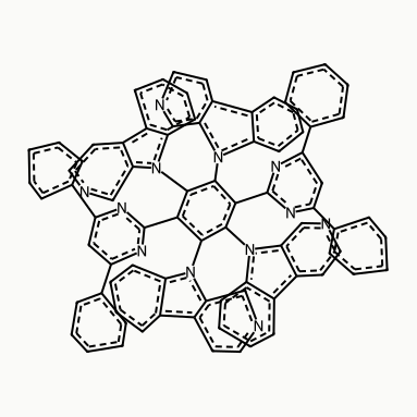 c1ccc(-c2cc(-c3ccccc3)nc(-c3c(-n4c5ccccc5c5ccncc54)c(-n4c5ccccc5c5ccncc54)c(-c4nc(-c5ccccc5)cc(-c5ccccc5)n4)c(-n4c5ccccc5c5ccncc54)c3-n3c4ccccc4c4ccncc43)n2)cc1